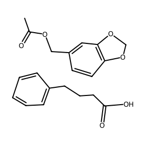 CC(=O)OCc1ccc2c(c1)OCO2.O=C(O)CCCc1ccccc1